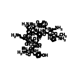 CC[C@H](C)[C@H](NC(=O)[C@H](Cc1ccc(O)cc1)NC(=O)[C@H](C)NC(=O)[C@H](CC(C)C)NC(=O)[C@H](C)NC(=O)[C@H](CCCCN)NC(=O)[C@H](CCCCN)NC(=O)[C@H](Cc1ccccc1)NC(=O)[C@@H](NC(=O)[C@@H](NC(=O)[C@@H](NC(=O)[C@H](CCCCN)NC(=O)[C@@H]1CCCN1C(=O)[C@H](C)N)[C@@H](C)CC)C(C)C)[C@@H](C)CC)C(N)=O